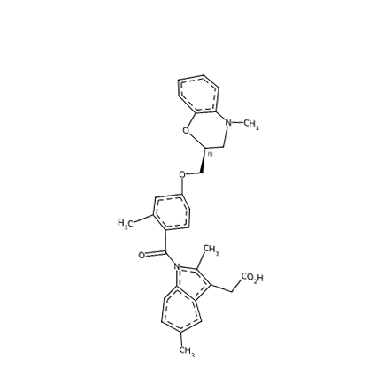 Cc1ccc2c(c1)c(CC(=O)O)c(C)n2C(=O)c1ccc(OC[C@@H]2CN(C)c3ccccc3O2)cc1C